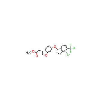 COC(=O)CC1COc2cc(O[C@@H]3CCc4c3ccc(C(F)(F)F)c4Br)ccc21